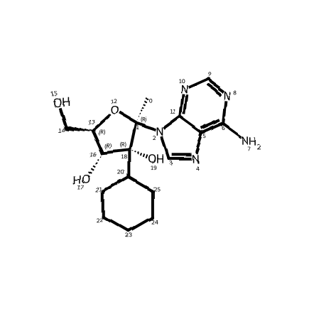 C[C@@]1(n2cnc3c(N)ncnc32)O[C@H](CO)[C@@H](O)[C@]1(O)C1CCCCC1